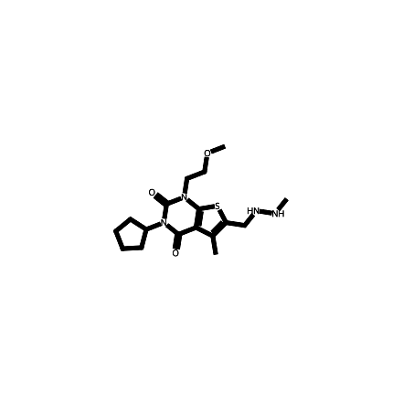 CNNCc1sc2c(c1C)c(=O)n(C1CCCC1)c(=O)n2CCOC